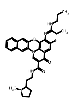 CCCN/C(CC)=N/c1c(F)cc2c(=O)c(C(=O)NCCC3CCCN3C)cn3c2c1Oc1cc2ccccc2cc1-3